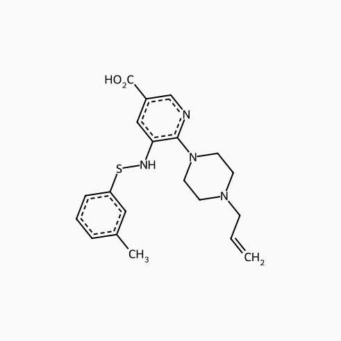 C=CCN1CCN(c2ncc(C(=O)O)cc2NSc2cccc(C)c2)CC1